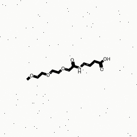 COCCOCCOCC(=O)NCCCC(=O)O